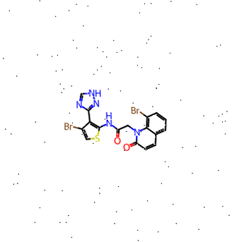 O=C(Cn1c(=O)ccc2cccc(Br)c21)Nc1scc(Br)c1-c1nc[nH]n1